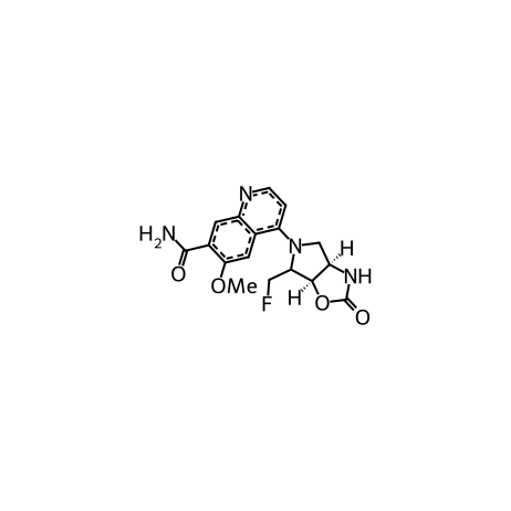 COc1cc2c(N3C[C@H]4NC(=O)O[C@H]4C3CF)ccnc2cc1C(N)=O